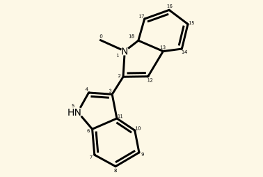 CN1C(c2c[nH]c3ccccc23)=CC2C=CC=CC21